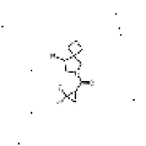 CCC1CN(C(=O)C2CC2(F)F)CC12CCC2